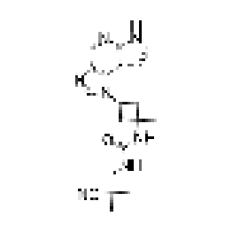 CC(C)(C#N)CNC(=O)NC1(C)C=C(n2cnc3cnc4[nH]ccc4c32)C1